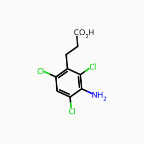 Nc1c(Cl)cc(Cl)c(CCC(=O)O)c1Cl